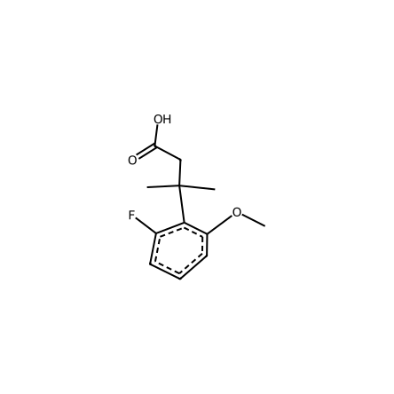 COc1cccc(F)c1C(C)(C)CC(=O)O